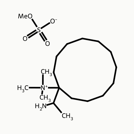 CC(N)C1([N+](C)(C)C)CCCCCCCCCCC1.COS(=O)(=O)[O-]